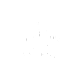 C=C(C)CO.O=[PH]([O-])O[PH](=O)[O-].[Ag+2]